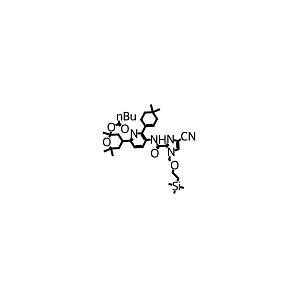 CCCCC(=O)OC1(C)CC(c2ccc(NC(=O)c3nc(C#N)cn3COCC[Si](C)(C)C)c(C3=CCC(C)(C)CC3)n2)CC(C)(C)O1